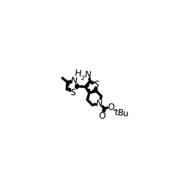 Cc1csc(-c2c(N)sc3c2CCN(C(=O)OC(C)(C)C)C3)n1